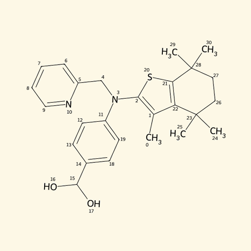 Cc1c(N(Cc2ccccn2)c2ccc(C(O)O)cc2)sc2c1C(C)(C)CCC2(C)C